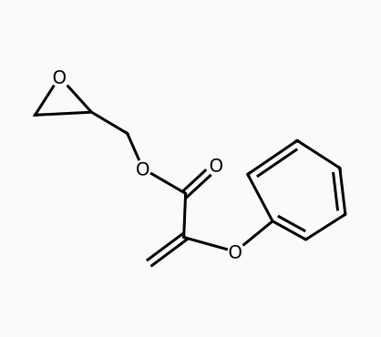 C=C(Oc1ccccc1)C(=O)OCC1CO1